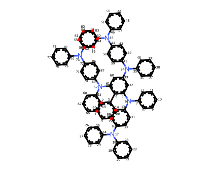 c1ccc(-c2c(N(c3ccccc3)c3ccc(N(c4ccccc4)c4ccccc4)cc3)cc(N(c3ccccc3)c3ccc(N(c4ccccc4)c4ccccc4)cc3)cc2N(c2ccccc2)c2ccc(N(c3ccccc3)c3ccccc3)cc2)cc1